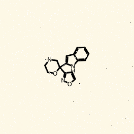 c1ccc2[nH]c(C3(c4ccon4)C[N]CCO3)cc2c1